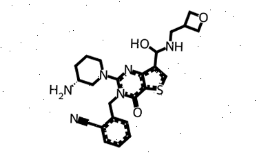 N#Cc1ccccc1Cn1c(N2CCC[C@@H](N)C2)nc2c(C(O)NCC3COC3)csc2c1=O